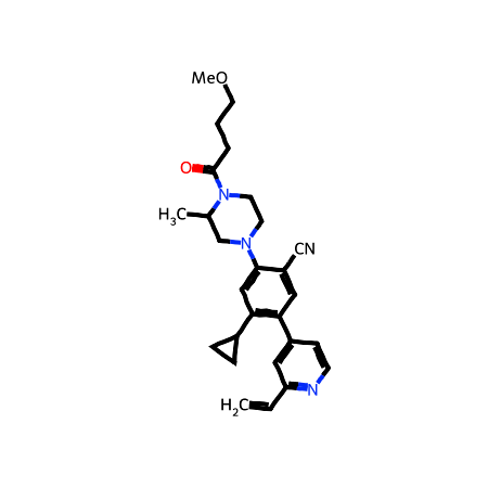 C=Cc1cc(-c2cc(C#N)c(N3CCN(C(=O)CCCOC)C(C)C3)cc2C2CC2)ccn1